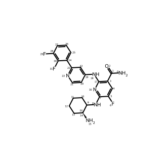 NC(=O)c1cc(F)c(NC2CCCC[C@@H]2N)nc1Nc1ccnc(-c2cccc(F)c2F)c1